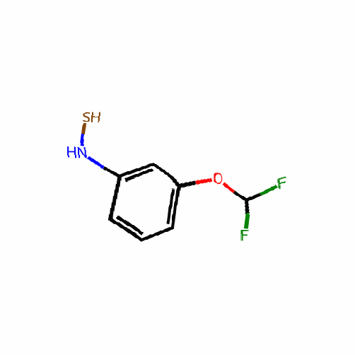 FC(F)Oc1cccc(NS)c1